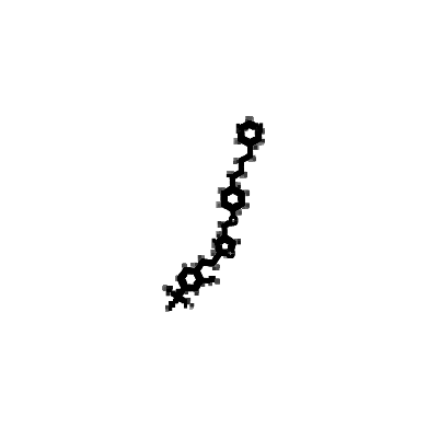 Fc1cc(C(F)(F)F)ccc1/C=C/c1nc(COc2ccc(CCCCc3cncnc3)cc2)co1